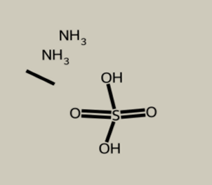 CC.N.N.O=S(=O)(O)O